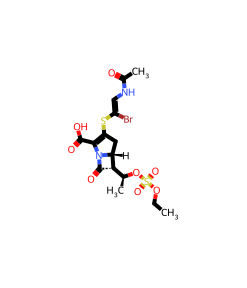 CCOS(=O)(=O)O[C@@H](C)[C@@H]1C(=O)N2C(C(=O)O)=C(SC(Br)=CNC(C)=O)C[C@H]12